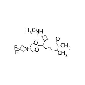 CNC[C@@H]1CC[C@H]1[C@@H](CCC[C@H](C)[C@@H](C)C=O)[C@H]1OC[C@@H](N2CC(F)(F)C2)CO1